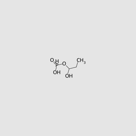 CCC(O)O[PH](=O)O